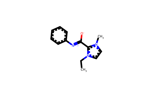 CC[n+]1ccn(C)c1/C([O-])=N/c1ccccc1